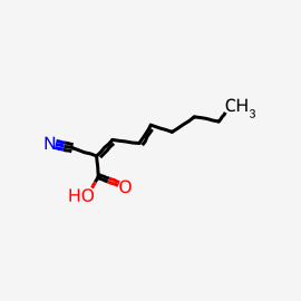 CCCCC=CC=C(C#N)C(=O)O